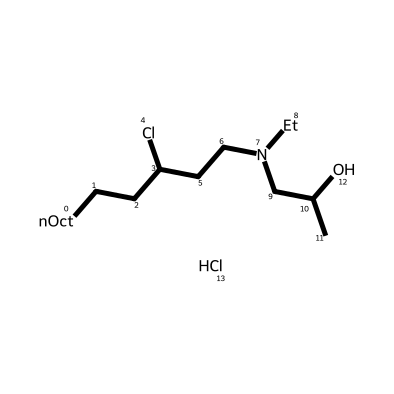 CCCCCCCCCCC(Cl)CCN(CC)CC(C)O.Cl